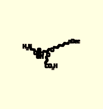 CCCCCCCCCCCCCCCCOCC(COP(=O)(O)OCCN)OCCCC(=O)O